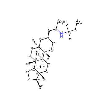 CC(=O)OCC(C)(C)NC(C[C@H]1CC[C@@]2(C)[C@@H](CC[C@@H]3[C@@H]2CC[C@]2(C)[C@@H](C(C)=O)CC[C@@H]32)C1)C(=O)O